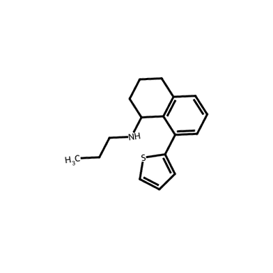 CCCNC1CCCc2cccc(-c3cccs3)c21